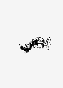 Cc1cc(S(=O)(=O)NCCCc2csc(-c3ccc(F)cc3)n2)cc(C(=O)O)c1C